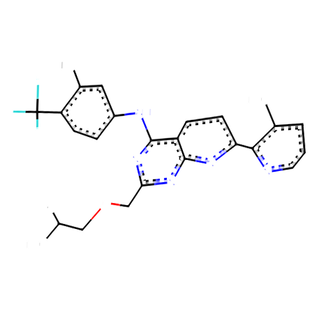 Cc1cc(Nc2nc(COCC(C)C)nc3nc(-c4ncccc4C)ccc23)ccc1C(F)(F)F